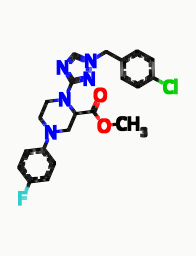 COC(=O)C1CN(c2ccc(F)cc2)CCN1c1ncn(Cc2ccc(Cl)cc2)n1